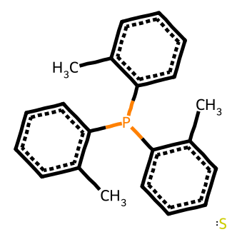 Cc1ccccc1P(c1ccccc1C)c1ccccc1C.[S]